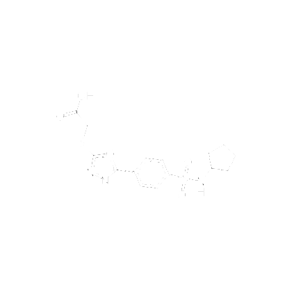 O=C(O)CSc1nnc(-c2ccc(S(=O)(=O)NC3CCCC3)cc2)o1